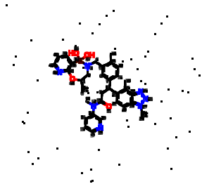 CC[C@@H]1CN(Cc2cc([C@H](CC(=O)N(C)c3cccnc3)c3ccc4c(nnn4CC)c3C)ccc2C)S(O)(O)c2cccnc2O1